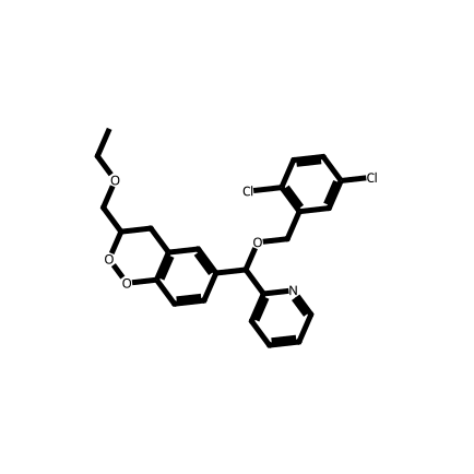 CCOCC1Cc2cc(C(OCc3cc(Cl)ccc3Cl)c3ccccn3)ccc2OO1